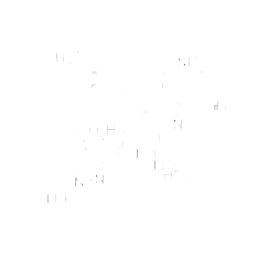 Cc1ccc(-c2c(COc3nn(C)cc3C(=O)O)c(C)nc(CC(C)C)c2CN)cc1.Cl.Cl